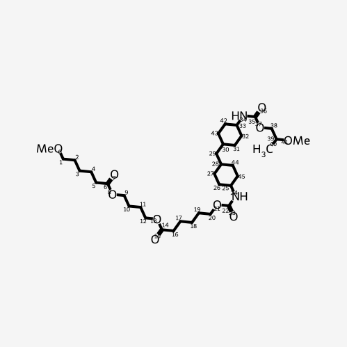 COCCCCCC(=O)OCCCCOC(=O)CCCCCOC(=O)NC1CCC(CC2CCC(NC(=O)OCC(C)OC)CC2)CC1